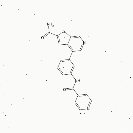 NC(=O)c1cc2c(-c3cccc(NC(=O)c4ccncc4)c3)cncc2s1